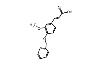 COc1cc(/C=C/C(=O)O)ccc1OCc1ccccc1